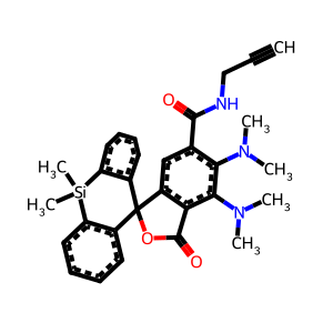 C#CCNC(=O)c1cc2c(c(N(C)C)c1N(C)C)C(=O)OC21c2ccccc2[Si](C)(C)c2ccccc21